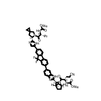 COC(=O)N[C@@H](CCC#N)C(=O)N1[C@@H]2CC[C@@H](C2)[C@H]1c1nc2ccc(-c3ccc4c(c3)C(F)(F)c3cc(-c5cnc([C@@H]6CC7(CC7)CN6C(=O)[C@H](NC(=O)OC)C(C)C)[nH]5)ccc3-4)cc2[nH]1